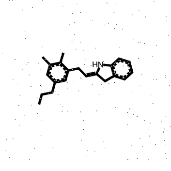 CCCc1cc(C)c(C)c(CC=C2Cc3ccccc3N2)c1